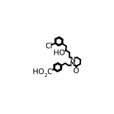 O=C(O)c1ccc(CCN2C(=O)CCCN2CCC(O)Cc2cccc(Cl)c2)cc1